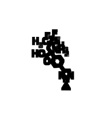 CC(C)(CC(N)(C(=O)O)c1ccc(-c2cnn(C3CC3)n2)cc1)C(F)(F)F